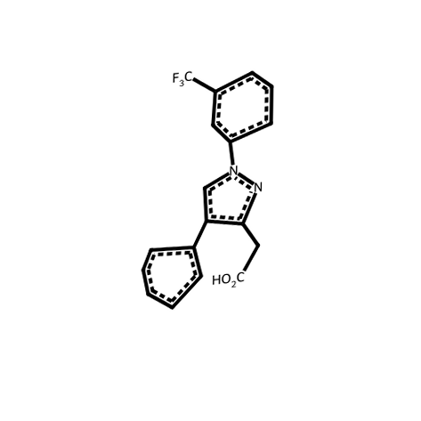 O=C(O)Cc1nn(-c2cccc(C(F)(F)F)c2)cc1-c1ccccc1